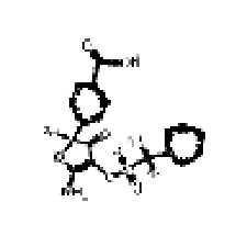 [2H]C([2H])(c1ccccc1)S(=O)(=O)OC1=C(N)O[C@]([2H])(c2ccc(C(=O)O)cc2)C1=O